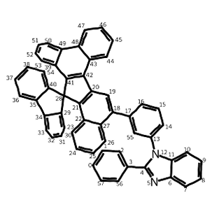 c1ccc(-c2nc3ccccc3n2-c2cccc(-c3cc4c(c5ccccc35)C3(c5ccccc5-c5ccccc53)c3c-4c4ccccc4c4ccccc34)c2)cc1